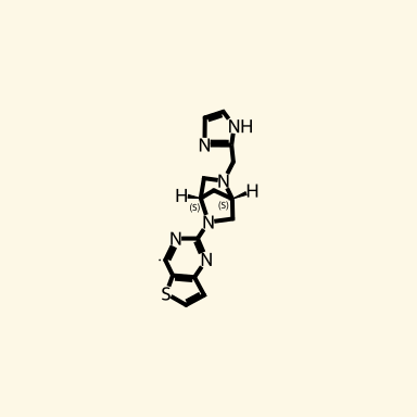 [c]1nc(N2C[C@@H]3C[C@H]2CN3Cc2ncc[nH]2)nc2ccsc12